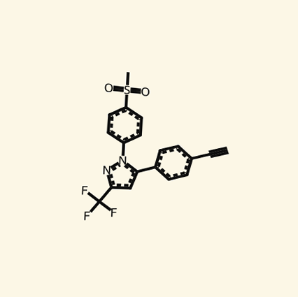 C#Cc1ccc(-c2cc(C(F)(F)F)nn2-c2ccc(S(C)(=O)=O)cc2)cc1